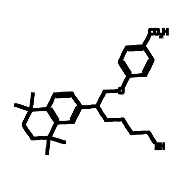 CC1(C)CCC(C)(C)c2cc(C(CCCCS)COc3ccc(C(=O)O)cc3)ccc21